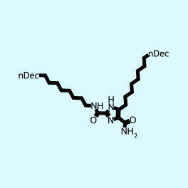 CCCCCCCCCCCCCCCCCCNC(=O)c1nc(C(N)=O)c(CCCCCCCCCCCCCCCCCC)[nH]1